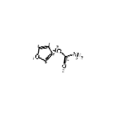 NC(=O)O.c1ccoc1